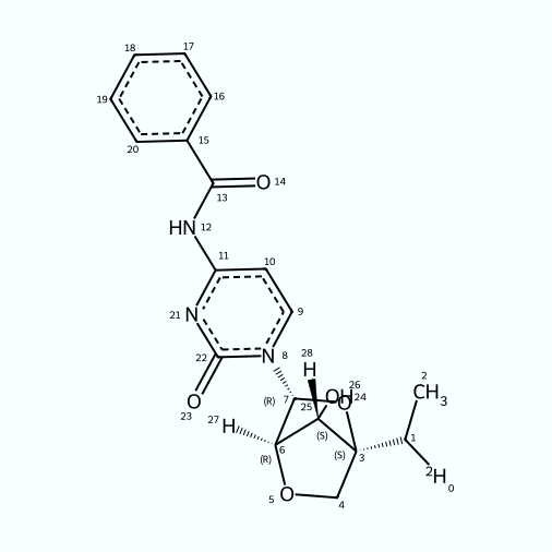 [2H]C(C)[C@@]12CO[C@@H]([C@H](n3ccc(NC(=O)c4ccccc4)nc3=O)O1)[C@@H]2O